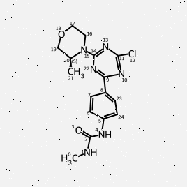 CNC(=O)Nc1ccc(-c2nc(Cl)nc(N3CCOC[C@@H]3C)n2)cc1